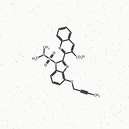 CC#CCOc1cccc2c1nc(-c1nc3ccccc3cc1C(=O)O)n2S(=O)(=O)N(C)C